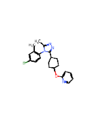 Cc1cc(Cl)ccc1-n1c(C)nnc1C1CCC(Oc2ccccn2)CC1